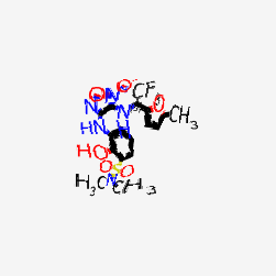 Cc1ccc([C@H](Nc2c(Nc3cccc(S(=O)(=O)N(C)C)c3O)no[n+]2[O-])C(F)(F)F)o1